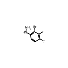 Cc1c(Cl)ccc(NN)c1Br